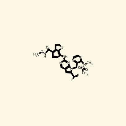 CONC(=O)c1ccc(Nc2ncc3cc(C(F)F)n(Cc4nccnc4N(C)S(C)(=O)=O)c3n2)c2c1CCO2